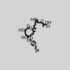 CCC(O)C(C)=C1OC1CC(C)(O)CC/C=C(\C)C1OC(=O)CC(O)CCC(C)(O)C(OC(=O)N2CCN(CCN(C)C)CC2)/C=C/C1C